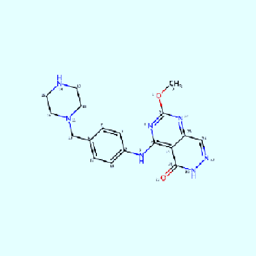 COc1nc(Nc2ccc(CN3CCNCC3)cc2)c2c(=O)[nH]ncc2n1